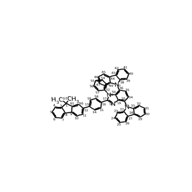 CC1(C)c2ccccc2-c2ccc(-c3ccc(-c4nc5c(-n6c7ccccc7c7ccccc76)ccc(-n6c7ccccc7c7ccccc76)c5n4-c4ccccc4)cc3)cc21